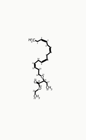 CC/C=C\C/C=C\C/C=C\C/C=C\CCOC(CC)C(=O)OCC